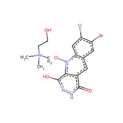 C[N+](C)(C)CCO.O=c1[nH]nc(O)c2c1cc1cc(Br)c(Cl)cc1[n+]2[O-]